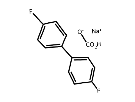 Fc1ccc(-c2ccc(F)cc2)cc1.O=C([O-])O.[Na+]